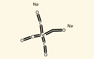 O=[C]=[Fe](=[C]=O)(=[C]=O)=[C]=O.[Na].[Na]